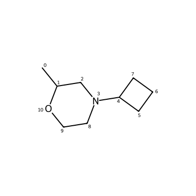 CC1CN(C2CCC2)CCO1